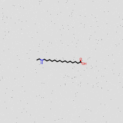 CCNCCCCCCCCCCCCCCC(=O)O